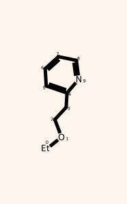 CCOCCc1ccccn1